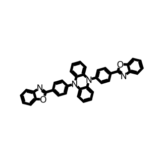 c1ccc2c(c1)N(c1ccc(-c3nc4ccccc4o3)cc1)c1ccccc1N2c1ccc(-c2nc3ccccc3o2)cc1